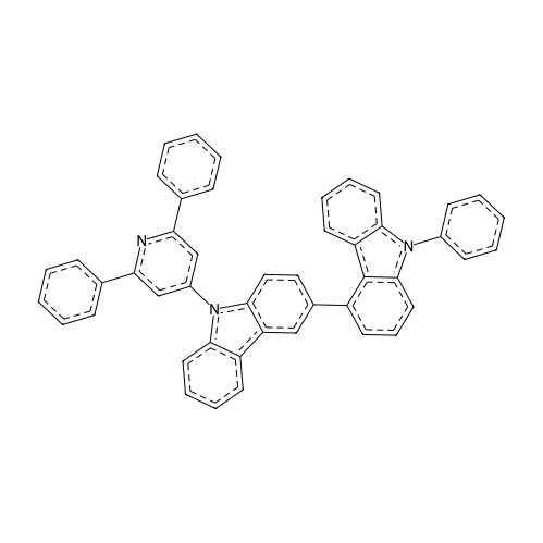 c1ccc(-c2cc(-n3c4ccccc4c4cc(-c5cccc6c5c5ccccc5n6-c5ccccc5)ccc43)cc(-c3ccccc3)n2)cc1